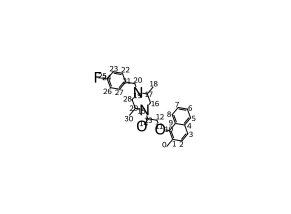 Cc1ccc2ccccc2c1OCC(=O)N1CC(C)N(Cc2ccc(F)cc2)CC1C